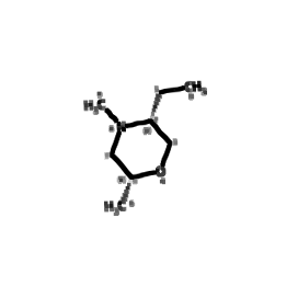 CC[C@@H]1CO[C@H](C)CN1C